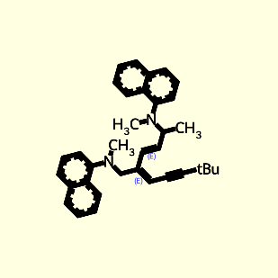 CC(/C=C/C(=C\C#CC(C)(C)C)CN(C)c1cccc2ccccc12)N(C)c1cccc2ccccc12